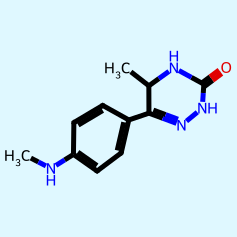 CNc1ccc(C2=NNC(=O)NC2C)cc1